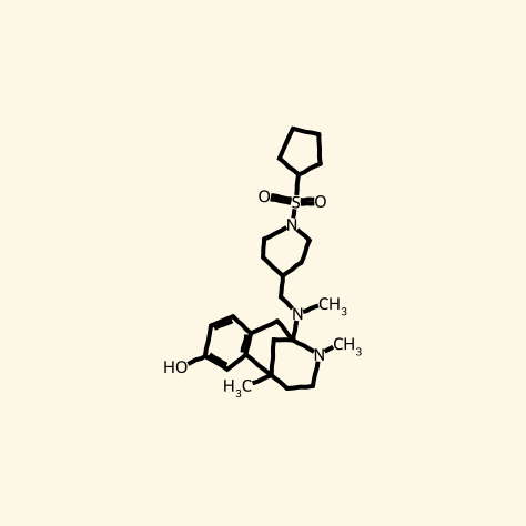 CN1CCC2(C)CC1(N(C)CC1CCN(S(=O)(=O)C3CCCC3)CC1)Cc1ccc(O)cc12